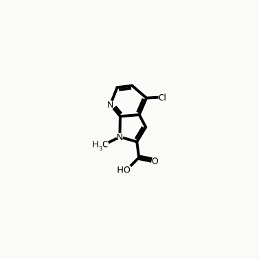 Cn1c(C(=O)O)cc2c(Cl)ccnc21